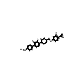 COc1ccc(-c2ccc(C3CCC(COc4ccc(C5CO5)c(F)c4)CC3)c(F)c2F)cc1